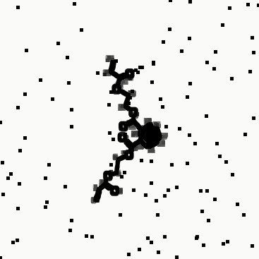 C=CC(=O)OCCOC(=O)[C]12[CH]3[CH]4[CH]5[C]1(C(=O)OCCOC(=O)C=C)[Fe]43521678[CH]2[CH]1[CH]6[CH]7[CH]28